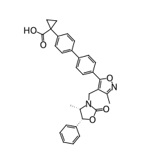 Cc1noc(-c2ccc(-c3ccc(C4(C(=O)O)CC4)cc3)cc2)c1CN1C(=O)O[C@H](c2ccccc2)[C@@H]1C